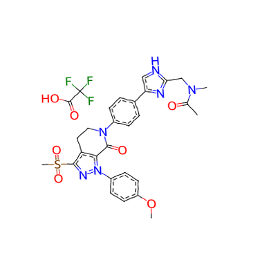 COc1ccc(-n2nc(S(C)(=O)=O)c3c2C(=O)N(c2ccc(-c4c[nH]c(CN(C)C(C)=O)n4)cc2)CC3)cc1.O=C(O)C(F)(F)F